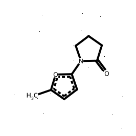 Cc1ccc(N2[CH]CCC2=O)o1